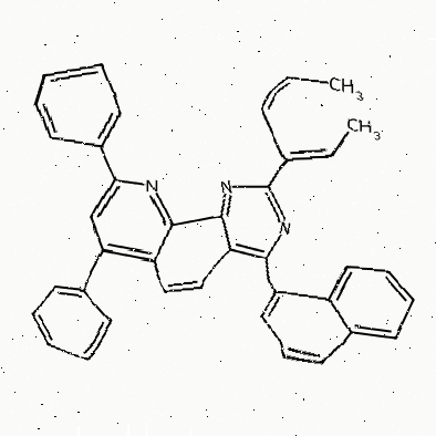 C/C=C\C(=C/C)c1nc(-c2cccc3ccccc23)c2ccc3c(-c4ccccc4)cc(-c4ccccc4)nc3c2n1